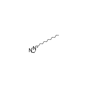 CCCCCCCCCCCC[n+]1cccnc1